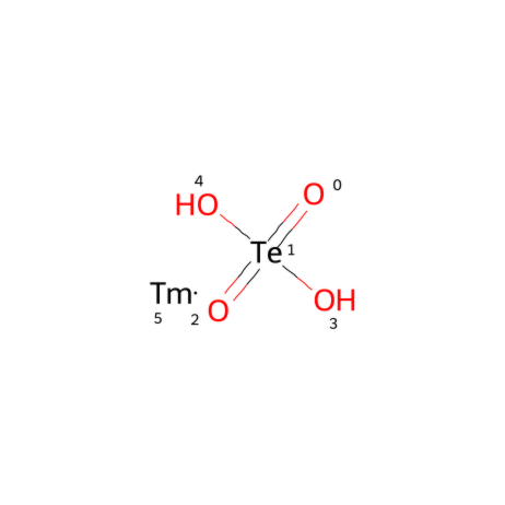 O=[Te](=O)(O)O.[Tm]